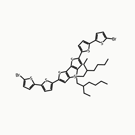 CCCCC(CC)C[Si]1(CC(CC)CCCC)c2cc(-c3ccc(-c4ccc(Br)s4)s3)sc2-c2sc(-c3ccc(-c4ccc(Br)s4)s3)cc21